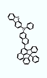 c1ccc(N(c2ccc3cc(-c4cc5ccccc5c5c4-c4ccccc4C5(c4ccccc4)c4ccccc4)ccc3c2)c2ccc3c(c2)sc2ccccc23)cc1